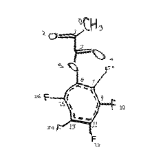 CC(=O)C(=O)Oc1c(F)c(F)c(F)c(F)c1F